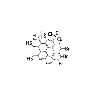 SC=C1C(=CS)C2C(=CS)C=c3ccc4c(Br)c(Br)c5c(Br)c(Br)c6c([Si](Cl)(Cl)Cl)c([Si](Cl)(Cl)Cl)c1c1c2c3c4c5c61